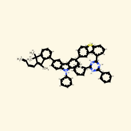 C=C/C=C\C1=C(C)c2c(-c3ccc4c(c3)c3cc(-c5ccc6sc7cccc(-c8nc(-c9ccccc9)nc(-c9ccccc9)n8)c7c6c5)ccc3n4-c3ccccc3)cccc2C1(C)C